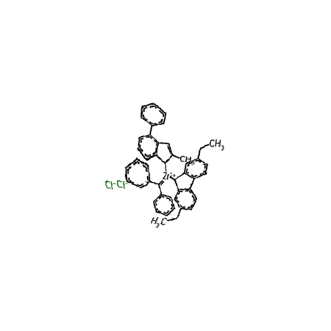 CCc1ccc2c(c1)[CH]([Zr+2](=[C](c1ccccc1)c1ccccc1)[CH]1C(C)=Cc3c(-c4ccccc4)cccc31)c1cc(CC)ccc1-2.[Cl-].[Cl-]